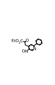 CCOC(=O)C(=O)Cc1cc(-c2ccccc2)ncc1N=O